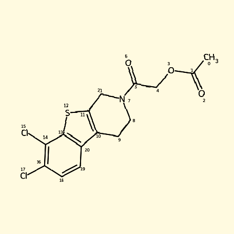 CC(=O)OCC(=O)N1CCc2c(sc3c(Cl)c(Cl)ccc23)C1